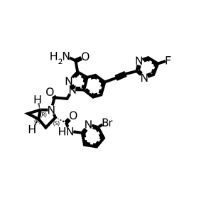 NC(=O)c1nn(CC(=O)N2[C@@H]3C[C@@H]3C[C@H]2C(=O)Nc2cccc(Br)n2)c2ccc(C#Cc3ncc(F)cn3)cc12